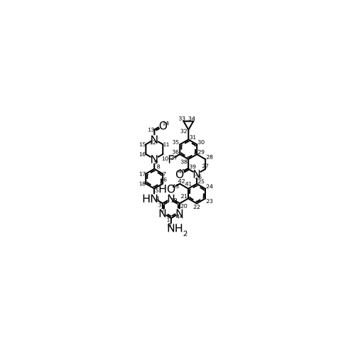 Nc1nc(Nc2ccc(N3CCN(C=O)CC3)cc2)nc(-c2cccc(N3CCc4cc(C5CC5)cc(F)c4C3=O)c2CO)n1